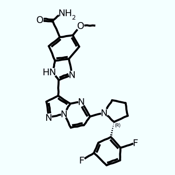 COc1cc2nc(-c3cnn4ccc(N5CCC[C@@H]5c5cc(F)ccc5F)nc34)[nH]c2cc1C(N)=O